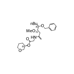 C=C(C[C@H](OC)[C@@H](CCCC)OCc1ccccc1)NCC(=O)O[C@@H]1CCCOC1